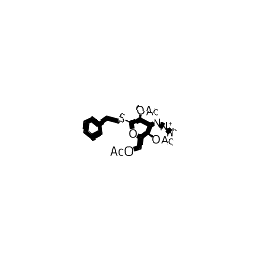 CC(=O)OCC1O[C@H](SCCc2ccccc2)[C@@H](OC(C)=O)C(N=[N+]=[N-])[C@H]1OC(C)=O